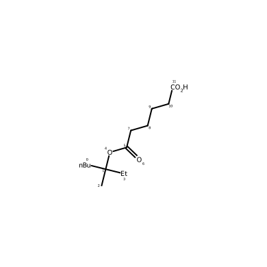 CCCCC(C)(CC)OC(=O)CCCCC(=O)O